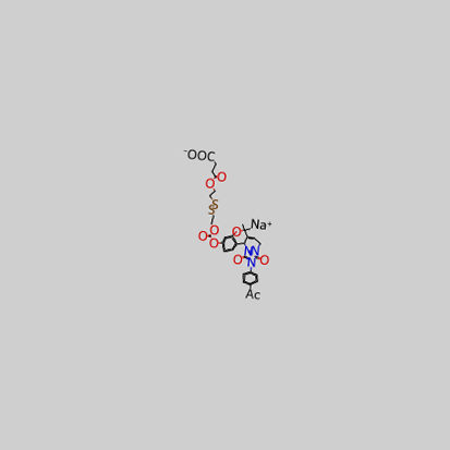 CC(=O)c1ccc(-n2c(=O)n3n(c2=O)C2C(=CC3)C(C)(C)Oc3cc(OC(=O)OCCSSCCOC(=O)CCC(=O)[O-])ccc32)cc1.[Na+]